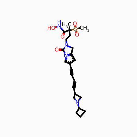 CC(CCN1Cc2cc(C#CC#CC3CN(C4CCC4)C3)cn2C1=O)(C(=O)NO)S(C)(=O)=O